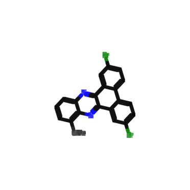 COc1cccc2nc3c4cc(Br)ccc4c4ccc(Br)cc4c3nc12